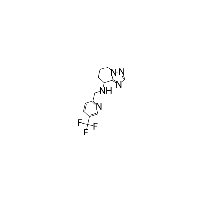 FC(F)(F)c1ccc(CNC2CCCn3ncnc32)nc1